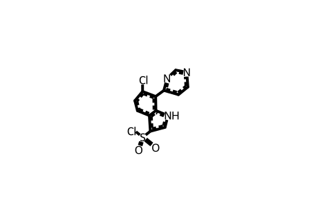 O=S(=O)(Cl)c1c[nH]c2c(-c3ccncn3)c(Cl)ccc12